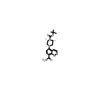 C[C@@H]1CN(c2ccc(C(N)=O)c3nnccc23)C[C@H](C)N1C(=O)OC(C)(C)C